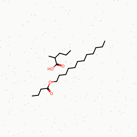 CCCC(C)C(=O)O.CCCCCCCCCCCCOC(=O)CCC